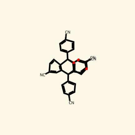 N#Cc1ccc(C23c4ccc(C#N)cc4C(c4ccc(C#N)cc4)(c4ccc(C#N)cc42)c2cc(C#N)ccc23)cc1